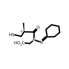 C[C@H](CS)C(=O)N(CC(=O)O)N=C1CCCCC1